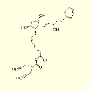 C#CCC(CC#C)C(=O)OC(=O)CCC/C=C\C[C@@H]1[C@@H](/C=C/[C@@H](O)CCc2ccccc2)[C@H](O)C[C@@H]1O